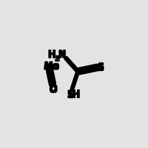 NC(=S)S.[O]=[Mo]